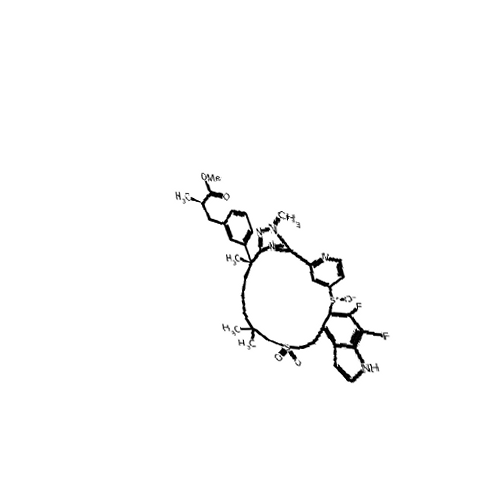 COC(=O)[C@H](C)Cc1cccc([C@@]2(C)CCCC(C)(C)CS(=O)(=O)CCc3c(c(F)c(F)c4[nH]ccc34)[S+]([O-])c3ccnc(c3)-c3nc2nn3C)c1